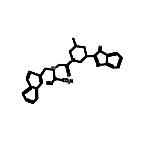 CC1CC(c2nc3ccccc3[nH]2)CN(C(=O)C[C@@H](Cc2ccc3ccccc3c2)N(C(=O)O)C(C)(C)C)C1